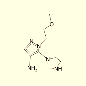 COCCn1ncc(N)c1N1CCNC1